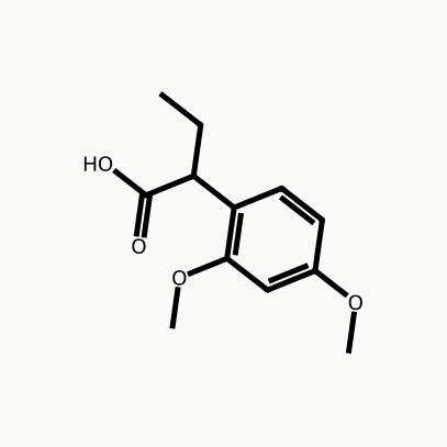 CCC(C(=O)O)c1ccc(OC)cc1OC